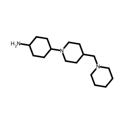 NC1CCC(N2CCC(CN3CCCCC3)CC2)CC1